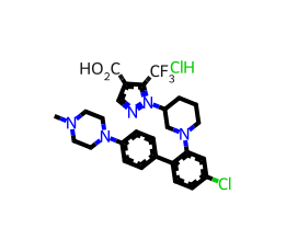 CN1CCN(c2ccc(-c3ccc(Cl)cc3N3CCCC(n4ncc(C(=O)O)c4C(F)(F)F)C3)cc2)CC1.Cl